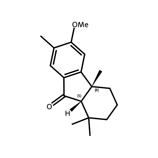 COc1cc2c(cc1C)C(=O)[C@H]1C(C)(C)CCC[C@@]21C